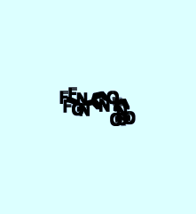 CS(=O)(=O)N1CC[C@@H](Oc2ccc(-c3noc(C(F)(F)F)n3)cn2)C1